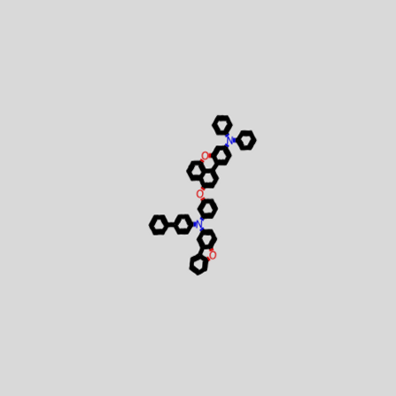 c1ccc(-c2ccc(N(c3cccc(Oc4ccc5c6c(cccc46)Oc4cc(N(c6ccccc6)c6ccccc6)ccc4-5)c3)c3ccc4oc5ccccc5c4c3)cc2)cc1